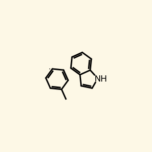 Cc1cc[c]cc1.c1ccc2[nH]ccc2c1